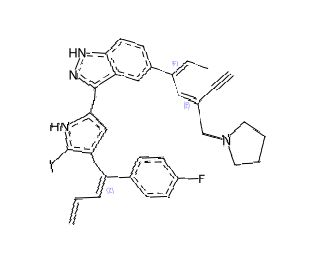 C#C/C(=C\C(=C/C)c1ccc2[nH]nc(-c3cc(/C(=C\C=C)c4ccc(F)cc4)c(I)[nH]3)c2c1)CN1CCCC1